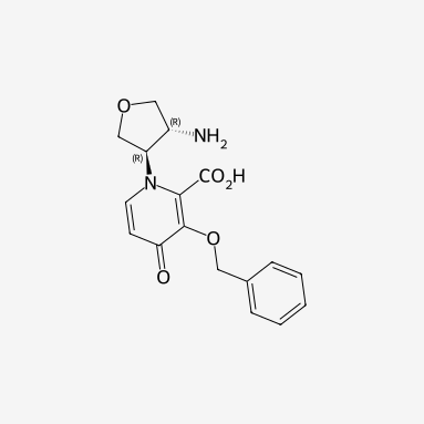 N[C@H]1COC[C@@H]1n1ccc(=O)c(OCc2ccccc2)c1C(=O)O